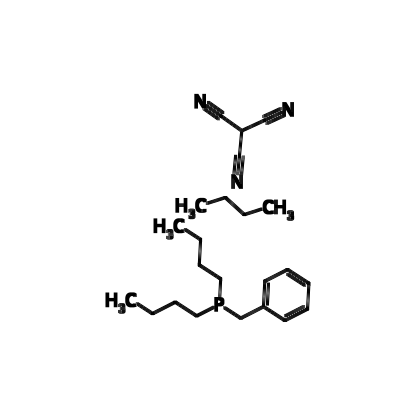 CCCC.CCCCP(CCCC)Cc1ccccc1.N#CC(C#N)C#N